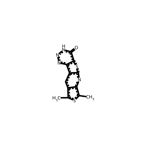 Cc1sc(C)c2nc3sc4c(=O)[nH]nnc4c3cc12